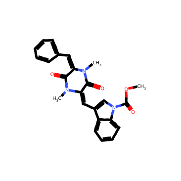 COC(=O)n1cc(C=c2c(=O)n(C)c(=Cc3ccccc3)c(=O)n2C)c2ccccc21